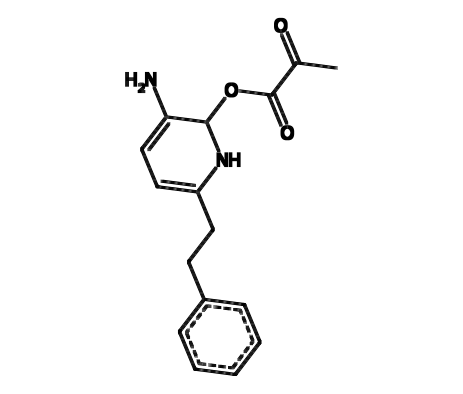 CC(=O)C(=O)OC1NC(CCc2ccccc2)=CC=C1N